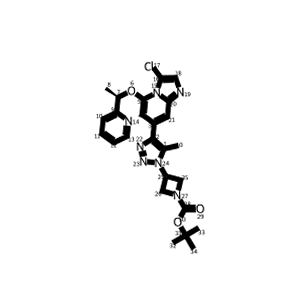 Cc1c(-c2cc(O[C@H](C)c3ccccn3)n3c(Cl)cnc3c2)nnn1C1CN(C(=O)OC(C)(C)C)C1